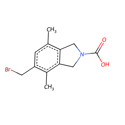 Cc1cc(CBr)c(C)c2c1CN(C(=O)O)C2